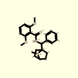 COc1cccc(OC)c1C(=O)NC(c1ccccc1)C12CCC(CC1)N2C